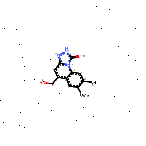 COc1cc2c(CO)cc3n[nH]c(=O)n3c2cc1C